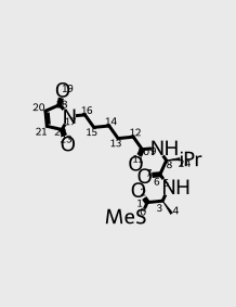 CSC(=O)[C@H](C)NC(=O)[C@@H](NC(=O)CCCCCN1C(=O)C=CC1=O)C(C)C